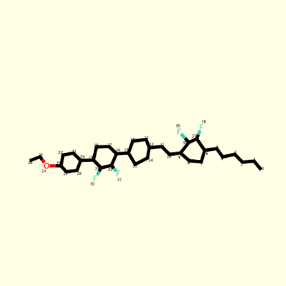 CCCCCCC1CCC(CCC2CCC(C3CCC(C4CCC(OCC)CC4)C(F)C3F)CC2)C(F)C1F